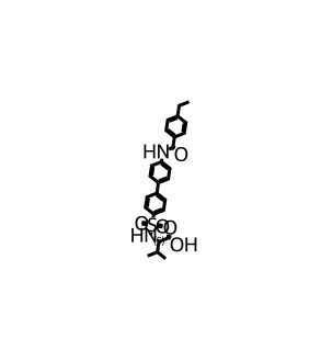 CCc1ccc(C(=O)Nc2ccc(-c3ccc(S(=O)(=O)N[C@H](C(=O)O)C(C)C)cc3)cc2)cc1